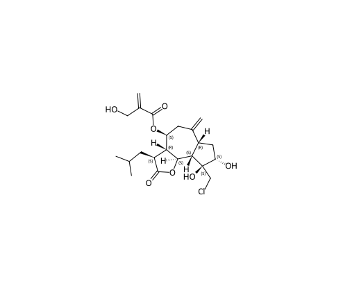 C=C(CO)C(=O)O[C@H]1CC(=C)[C@@H]2C[C@H](O)[C@](O)(CCl)[C@@H]2[C@H]2OC(=O)[C@@H](CC(C)C)[C@@H]21